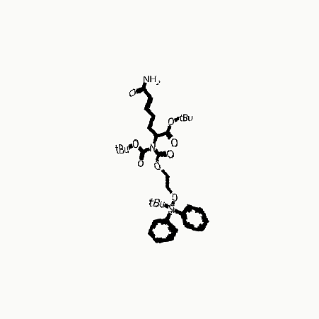 CC(C)(C)OC(=O)C(CC/C=C/C(N)=O)N(C(=O)OCCO[Si](c1ccccc1)(c1ccccc1)C(C)(C)C)C(=O)OC(C)(C)C